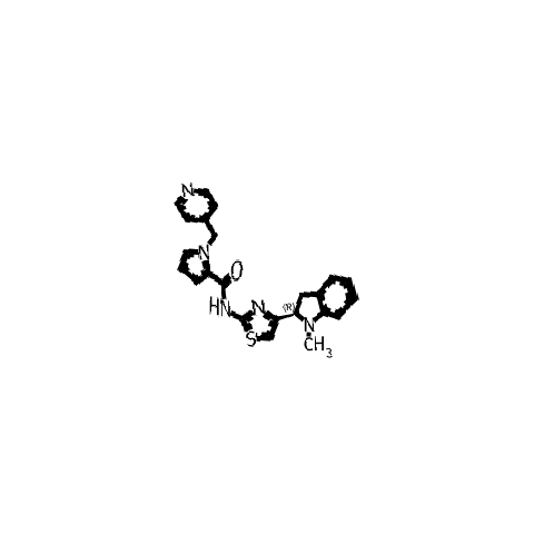 CN1c2ccccc2C[C@@H]1c1csc(NC(=O)c2cccn2Cc2ccncc2)n1